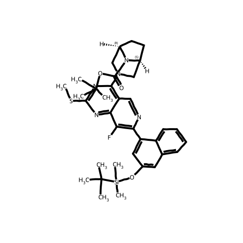 CSc1nc(N2C[C@H]3CC[C@@H](C2)N3C(=O)OC(C)(C)C)c2cnc(-c3cc(O[Si](C)(C)C(C)(C)C)cc4ccccc34)c(F)c2n1